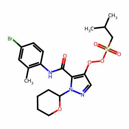 Cc1cc(Br)ccc1NC(=O)c1c(OOS(=O)(=O)CC(C)C)cnn1C1CCCCO1